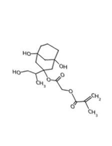 C=C(C)C(=O)OCC(=O)OC1(C(C)CO)CC2(O)CCCC(O)(C2)C1